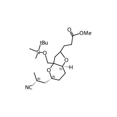 COC(=O)CCC1CC2(CO[Si](C)(C)C(C)(C)C)O[C@@H](C[C@@H](C)C#N)CC[C@@H]2O1